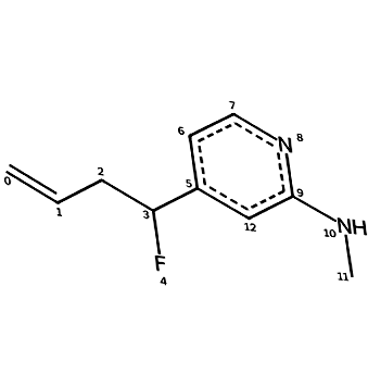 C=CCC(F)c1ccnc(NC)c1